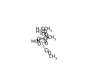 CCOc1ccc(CCCC(CC(=O)N(O)O)C(=O)N2CCN(OC(=O)OC(C)(C)C)[C@H](C)C2)cc1